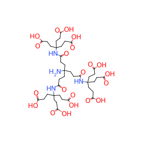 NC(CCC(=O)NC(CCC(=O)O)(CCC(=O)O)CCC(=O)O)(CCC(=O)NC(CCC(=O)O)(CCC(=O)O)CCC(=O)O)CCC(=O)NC(CCC(=O)O)(CCC(=O)O)CCC(=O)O